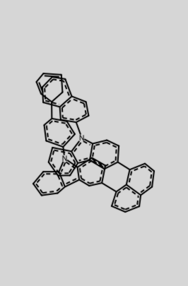 C1=CCC(c2ccc(-n3c4ccccc4c4cc(-c5cccc6cccc(-c7ccc8c(c7)c7ccccc7n8-c7ccc8ccccc8c7)c56)ccc43)cc2)C=C1